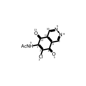 CC(=O)NC1=C(Cl)C(=O)c2cnncc2C1=O